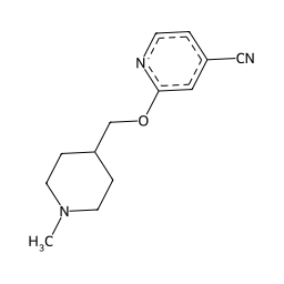 CN1CCC(COc2cc(C#N)ccn2)CC1